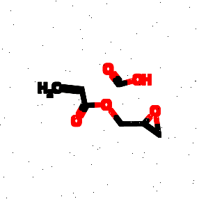 C=CC(=O)OCC1CO1.O=CO